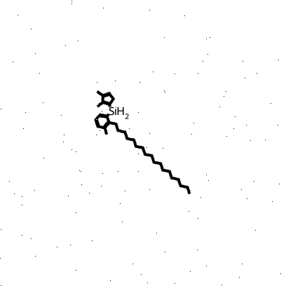 CCCCCCCCCCCCCCCCCCc1c(C)cccc1[SiH2]C1=C(C)C(C)=CC1